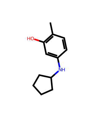 Cc1ccc(NC2CCCC2)cc1O